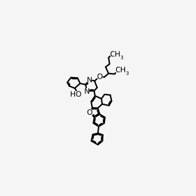 CCCCC(CC)COC1CC(C2=Cc3oc4cc(-c5ccccc5)ccc4c3C3C=CCCC23)=NC(C2C=CC=CC2O)=N1